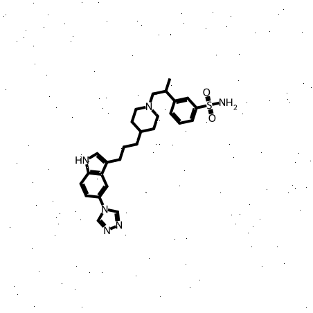 CC(CN1CCC(CCCc2c[nH]c3ccc(-n4cnnc4)cc23)CC1)c1cccc(S(N)(=O)=O)c1